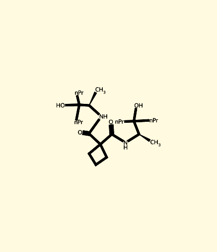 CCCC(O)(CCC)[C@@H](C)NC(=O)C1(C(=O)N[C@H](C)C(O)(CCC)CCC)CCC1